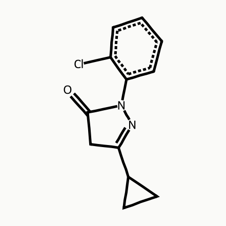 O=C1CC(C2CC2)=NN1c1ccccc1Cl